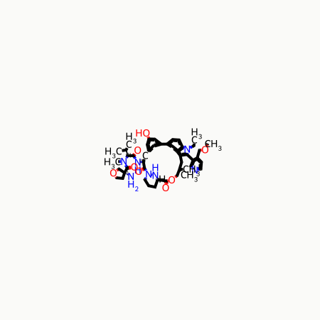 CCn1c(-c2cnccc2COC)c2c3cc(ccc31)-c1cc(O)cc(c1)C[C@H](NC(=O)[C@H](C(C)C)N(C)C(=O)[C@@]1(N)CCOC1)C(=O)N1CCC[C@H](N1)C(=O)OCC(C)(C)C2